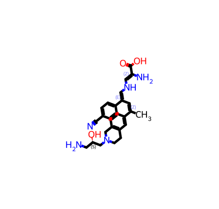 C/C(=C/C(=C\N/C=C(\N)C(=O)O)c1ccc(C#N)cc1)c1ccc2c(c1)CCN(C[C@@H](O)CN)C2